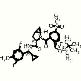 Cc1cc(F)c([C@H](NC(=O)[C@H]2CC3C[C@H]3N2C(=O)c2cc(S(C)(=O)=O)ccc2CO[Si](C)(C)C(C)(C)C)C2CC2)cc1F